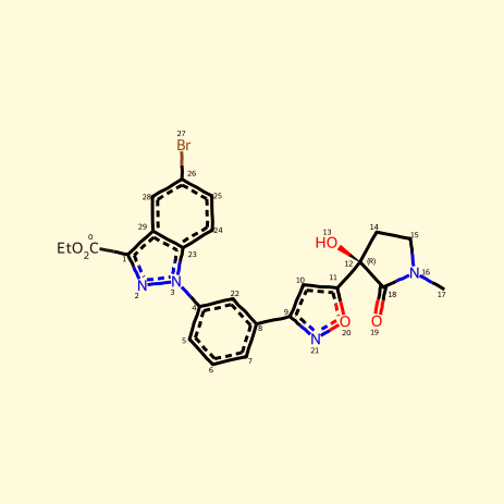 CCOC(=O)c1nn(-c2cccc(-c3cc([C@]4(O)CCN(C)C4=O)on3)c2)c2ccc(Br)cc12